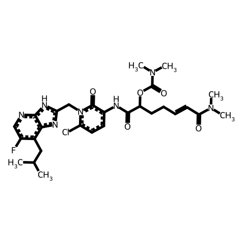 CC(C)Cc1c(F)cnc2[nH]c(Cn3c(Cl)ccc(NC(=O)C(CC/C=C/C(=O)N(C)C)OC(=O)N(C)C)c3=O)nc12